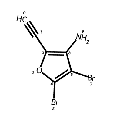 C#Cc1oc(Br)c(Br)c1N